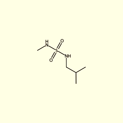 CNS(=O)(=O)NCC(C)C